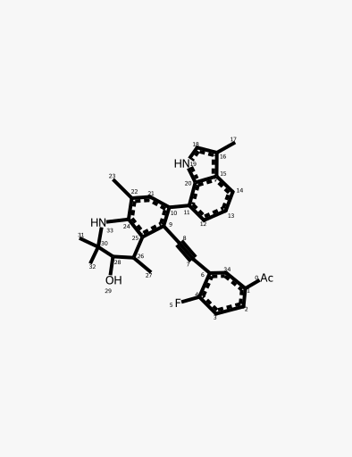 CC(=O)c1ccc(F)c(C#Cc2c(-c3cccc4c(C)c[nH]c34)cc(C)c3c2C(C)C(O)C(C)(C)N3)c1